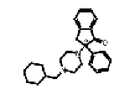 O=C1c2ccccc2C[C@]1(c1ccccc1)N1CCN(CC2CCCCC2)CC1